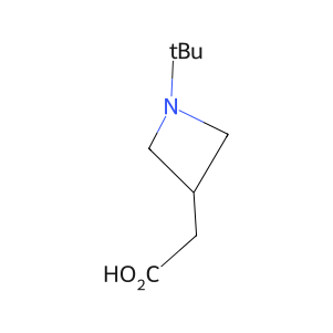 CC(C)(C)N1CC(CC(=O)O)C1